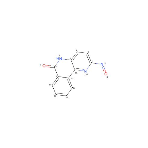 O=Nc1ccc2[nH]c(=O)c3ccccc3c2n1